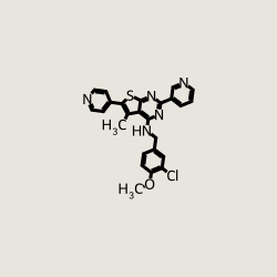 COc1ccc(CNc2nc(-c3cccnc3)nc3sc(-c4ccncc4)c(C)c23)cc1Cl